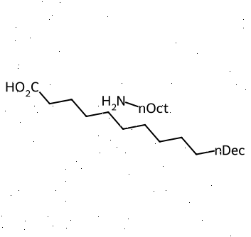 CCCCCCCCCCCCCCCCCCCC(=O)O.CCCCCCCCN